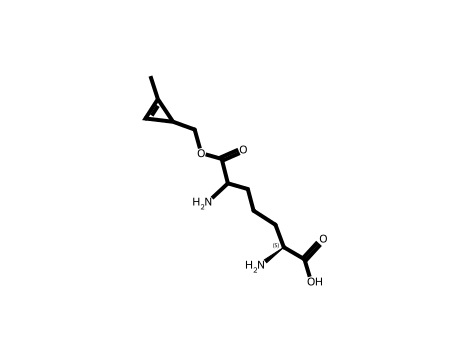 CC1=CC1COC(=O)C(N)CCC[C@H](N)C(=O)O